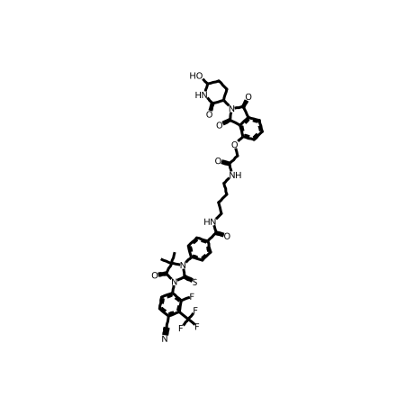 CC1(C)C(=O)N(c2ccc(C#N)c(C(F)(F)F)c2F)C(=S)N1c1ccc(C(=O)NCCCCNC(=O)COc2cccc3c2C(=O)N(C2CCC(O)NC2=O)C3=O)cc1